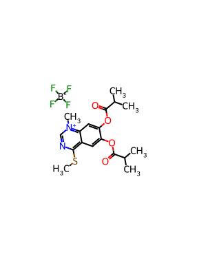 CSc1nc[n+](C)c2cc(OC(=O)C(C)C)c(OC(=O)C(C)C)cc12.F[B-](F)(F)F